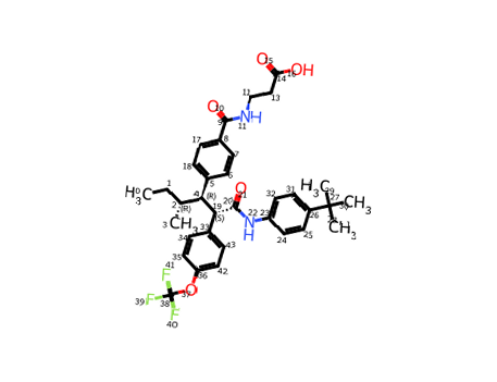 CC[C@@H](C)[C@@H](c1ccc(C(=O)NCCC(=O)O)cc1)[C@H](C(=O)Nc1ccc(C(C)(C)C)cc1)c1ccc(OC(F)(F)F)cc1